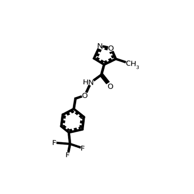 Cc1oncc1C(=O)NOCc1ccc(C(F)(F)F)cc1